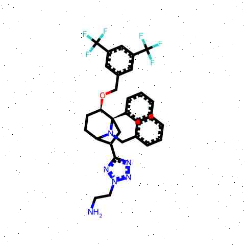 NCCn1nnc(C2C[C@@]3(c4ccccc4)[C@H](OCc4cc(C(F)(F)F)cc(C(F)(F)F)c4)CCC2N3Cc2ccccc2)n1